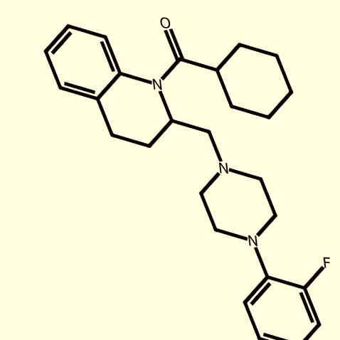 O=C(C1CCCCC1)N1c2ccccc2CCC1CN1CCN(c2ccccc2F)CC1